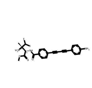 COC(=O)[C@@H](NC(=O)c1ccc(C#CC#Cc2ccc(N)cc2)cc1)[C@](C)(N)C(F)F